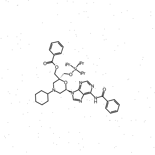 CC(C)[Si](OC[C@@]1(COC(=O)c2ccccc2)CN(C2CCCCC2)C[C@H](n2cnc3c(NC(=O)c4ccccc4)ncnc32)O1)(C(C)C)C(C)C